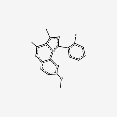 COc1ccc2nc(C)c3c(C)nc(-c4ccccc4F)n3c2n1